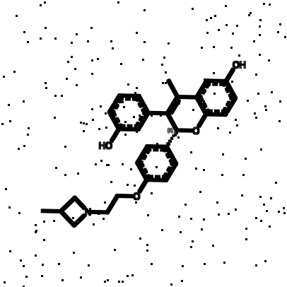 CC1=C(c2cccc(O)c2)[C@@H](c2ccc(OCCN3CC(C)C3)cc2)Oc2ccc(O)cc21